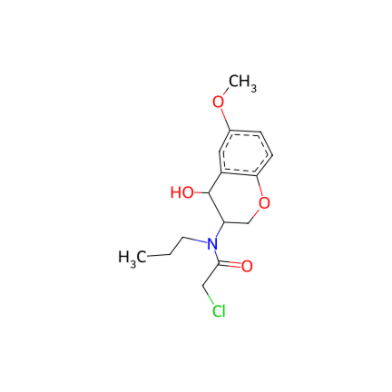 CCCN(C(=O)CCl)C1COc2ccc(OC)cc2C1O